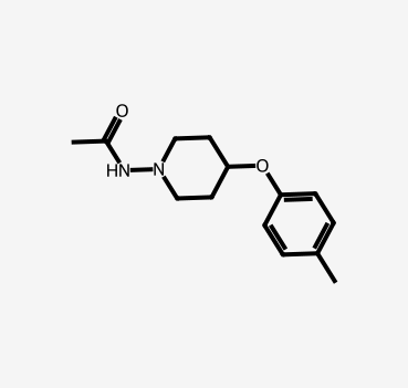 CC(=O)NN1CCC(Oc2ccc(C)cc2)CC1